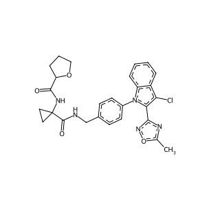 Cc1nc(-c2c(Cl)c3ccccc3n2-c2ccc(CNC(=O)C3(NC(=O)C4CCCO4)CC3)cc2)no1